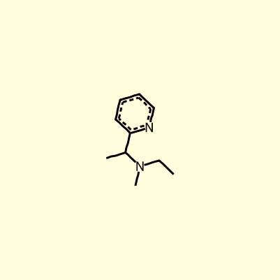 CCN(C)C(C)c1ccccn1